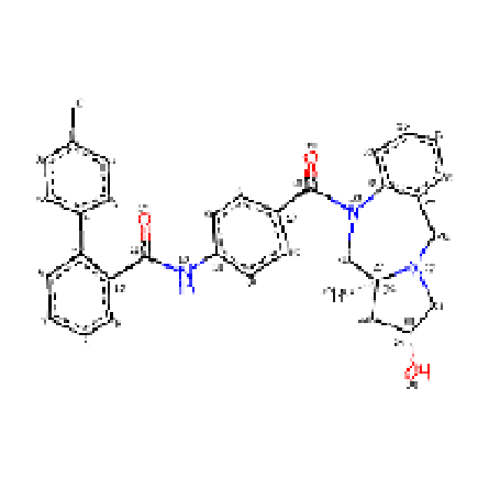 Cc1ccc(-c2ccccc2C(=O)Nc2ccc(C(=O)N3C[C@@H]4C[C@@H](O)CN4Cc4ccccc43)cc2)cc1